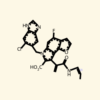 C=C(C(=O)N/C=C\C)c1c(C(=O)O)n(Cc2cc3nc[nH]c3cc2Cl)c2cc(F)c3ccoc3c12